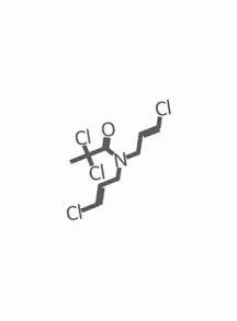 CC(Cl)(Cl)C(=O)N(C/C=C/Cl)C/C=C/Cl